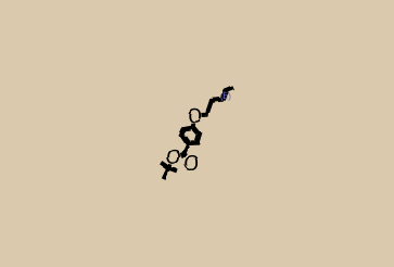 C/C=C/CCOc1ccc(C(=O)OC(C)(C)C)cc1